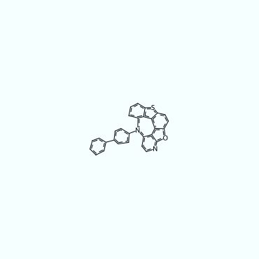 c1ccc(-c2ccc(-n3c4ccnc5oc6ccc7sc8cccc3c8c7c6c54)cc2)cc1